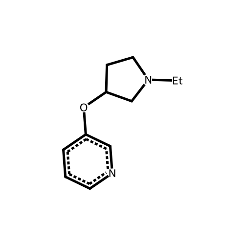 CCN1CCC(Oc2cccnc2)C1